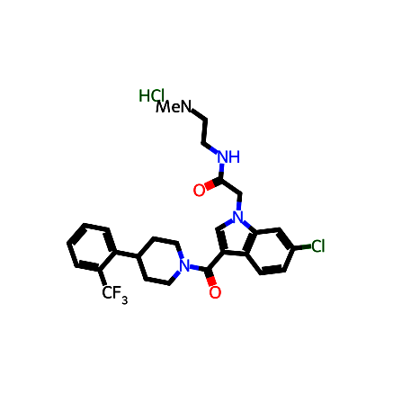 CNCCNC(=O)Cn1cc(C(=O)N2CCC(c3ccccc3C(F)(F)F)CC2)c2ccc(Cl)cc21.Cl